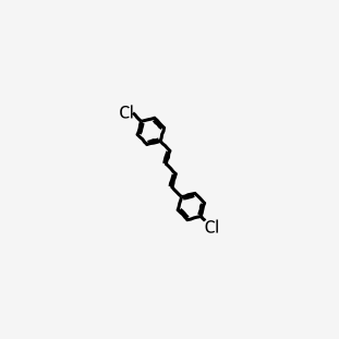 Clc1ccc(/C=C/C=C/c2ccc(Cl)cc2)cc1